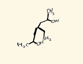 CC(O)CC(CN)CC(C)O